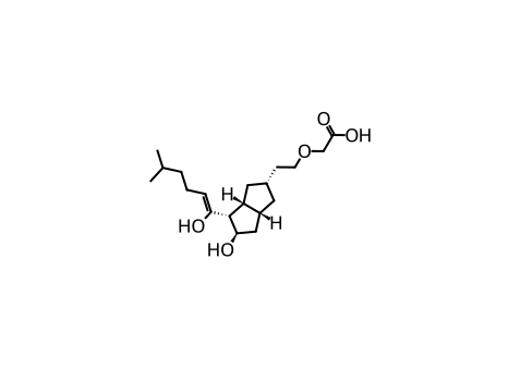 CC(C)CCC=C(O)[C@@H]1[C@@H]2C[C@H](CCOCC(=O)O)C[C@@H]2C[C@H]1O